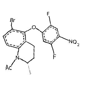 CC(=O)N1c2ccc(Br)c(Oc3cc(F)c([N+](=O)[O-])cc3F)c2CC[C@@H]1C